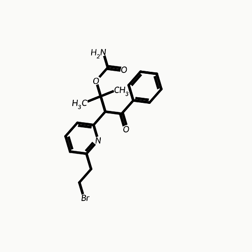 CC(C)(OC(N)=O)C(C(=O)c1ccccc1)c1cccc(CCBr)n1